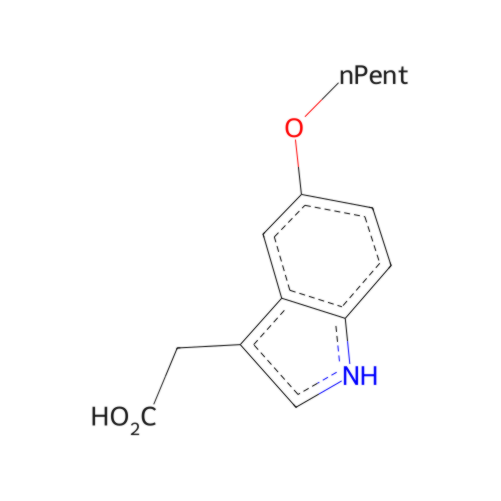 CCCCCOc1ccc2[nH]cc(CC(=O)O)c2c1